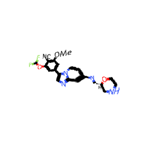 COc1cc(-c2cnc3cc(N=C[C@H]4CNCCO4)ccn23)cc(OC(F)F)c1C#N